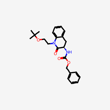 CC(C)(C)OCCN1C(=O)[C@H](NC(=O)OCc2ccccc2)Cc2ccccc21